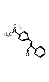 CN(C)c1ccc(C=C(C=O)c2ccccc2)cc1